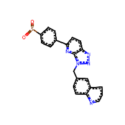 O=[SH](=O)c1ccc(-c2ccc3nnn(Cc4ccc5ncccc5c4)c3n2)cc1